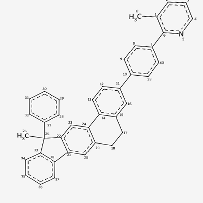 Cc1cccnc1-c1ccc(-c2ccc3c(c2)CCc2cc4c(cc2-3)C(C)(c2ccccc2)c2ccccc2-4)cc1